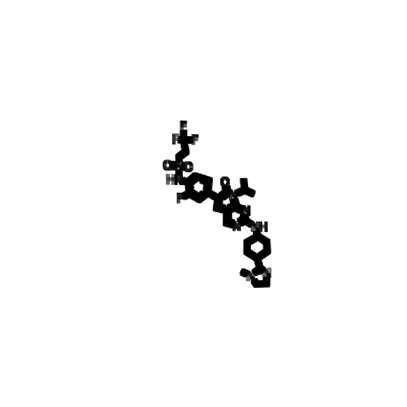 CC(C)n1c(=O)c(-c2ccc(NS(=O)(=O)CCC(F)(F)F)c(F)c2)cc2cnc(NC3CCC(C4=NCCN4C)CC3)nc21